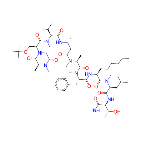 CCCCCC[C@H](NC(=O)[C@H](Cc1ccccc1)N(C)C(=O)[C@H](C)N(C)C(=O)C[C@@H](C)NC(=O)[C@H](C(C)C)N(C)C(=O)[C@H](COC(C)(C)C)NC(=O)[C@H](C)N(C)C(C)=O)C(=O)N(C)[C@@H](CC(C)C)C(=O)N[C@H](C(=O)NC)[C@@H](C)O